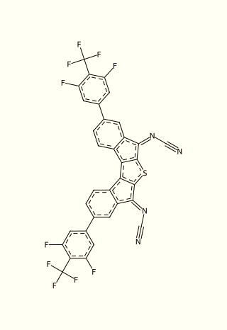 N#C/N=c1/c2cc(-c3cc(F)c(C(F)(F)F)c(F)c3)ccc2c2c1sc1/c(=N/C#N)c3cc(-c4cc(F)c(C(F)(F)F)c(F)c4)ccc3c12